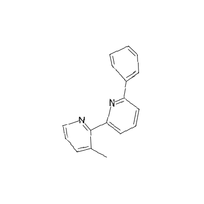 Cc1cccnc1-c1cccc(-c2ccccc2)n1